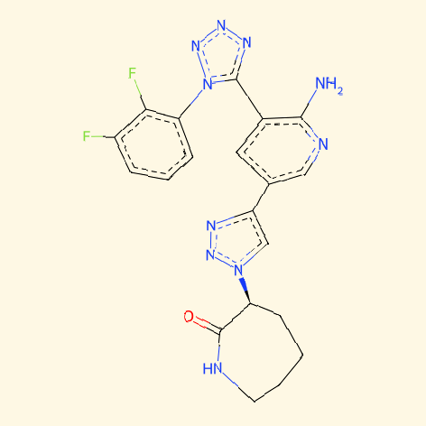 Nc1ncc(-c2cn([C@H]3CCCCNC3=O)nn2)cc1-c1nnnn1-c1cccc(F)c1F